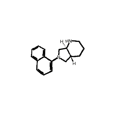 c1ccc2c(N3C[C@H]4CCCN[C@@H]4C3)cccc2c1